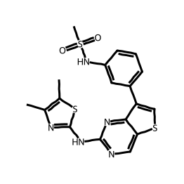 Cc1nc(Nc2ncc3scc(-c4cccc(NS(C)(=O)=O)c4)c3n2)sc1C